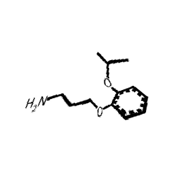 CC(C)Oc1ccccc1OCCCN